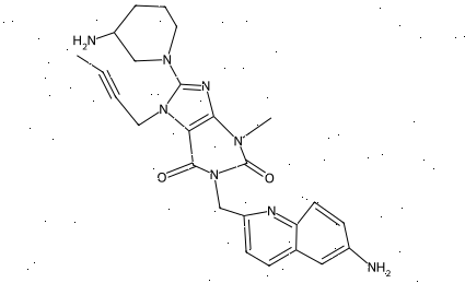 CC#CCn1c(N2CCCC(N)C2)nc2c1c(=O)n(Cc1ccc3cc(N)ccc3n1)c(=O)n2C